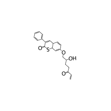 C=CC(=O)CCC(O)COC1=CC2SC(=O)C(c3ccccc3)=CC2C=C1